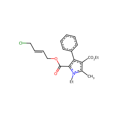 CCOC(=O)c1c(-c2ccccc2)c(C(=O)OCC=CCCl)n(CC)c1C